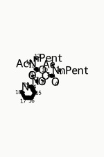 CCCCCN(C(C)=O)C(=O)OON(OC(=O)N(CCCCC)C(C)=O)c1ccccn1